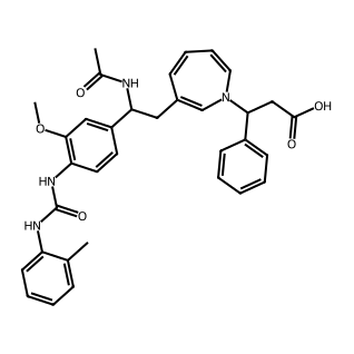 COc1cc(C(CC2=CN(C(CC(=O)O)c3ccccc3)C=CC=C2)NC(C)=O)ccc1NC(=O)Nc1ccccc1C